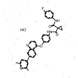 Cc1cc(-c2ccc3c(Oc4ccc(NC(=O)C5(C(=O)Nc6ccc(F)cc6)CC5)cc4)ccnc3c2)cc(C)n1.Cl